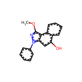 COc1nn(-c2ccccc2)c2cc(O)c3ccccc3c12